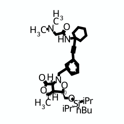 CCCC[Si](OC[C@@H]1ON(Cc2cccc(C#CC3(NC(=O)CN(C)C)CCCCC3)c2)[C@@H]2C(=O)O[C@@H](C)[C@H]12)(C(C)C)C(C)C